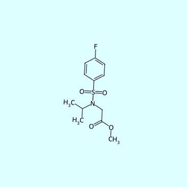 COC(=O)CN(C(C)C)S(=O)(=O)c1ccc(F)cc1